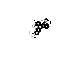 CNC(=O)c1cc2c(c(F)c1-c1c(Cl)c(F)cc3c1C[C@](c1ccccc1)([C@@H]1CCCN1)O3)[C@H](O)[C@H](O)C2